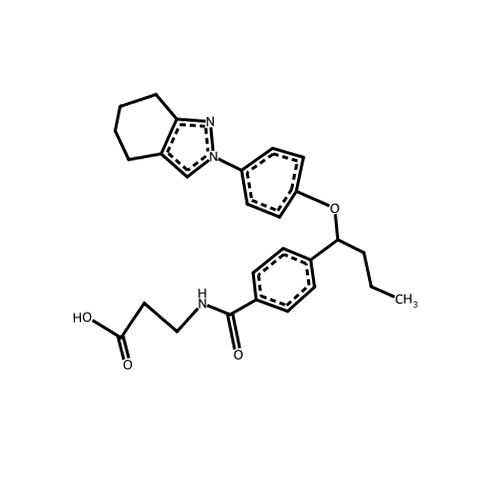 CCCC(Oc1ccc(-n2cc3c(n2)CCCC3)cc1)c1ccc(C(=O)NCCC(=O)O)cc1